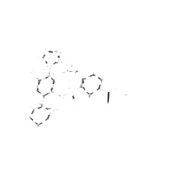 COC(=O)c1ccc(C2CC2)c(S(=O)(=O)Nc2cc(-n3cnnn3)c(F)cc2-c2ccccn2)c1